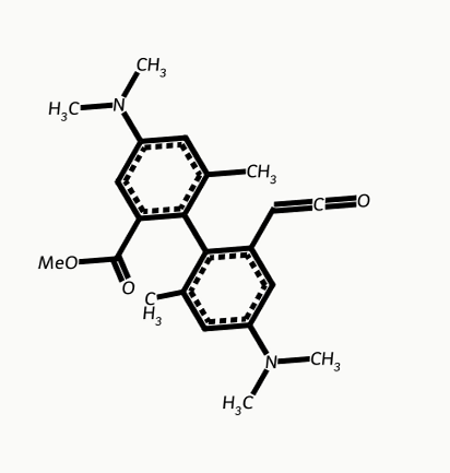 COC(=O)c1cc(N(C)C)cc(C)c1-c1c(C)cc(N(C)C)cc1C=C=O